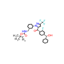 CC(C)(C)OC(=O)NCc1cccc(-n2nc(C(F)(F)F)cc2C(=O)c2ccc(C(O)c3ccccc3)cc2F)c1